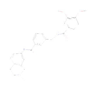 COc1ccc(C(=O)N[C@H](C)c2cccc(C(=O)Nc3ccc4c(c3)CN(C)CC4)c2)cc1OC